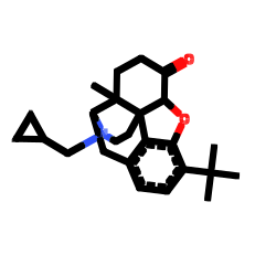 CC(C)(C)c1ccc2c3c1OC1C(=O)CCC4(C)C(C2)N(CC2CC2)CCC314